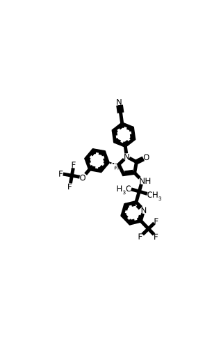 CC(C)(NC1=C[C@H](c2cccc(OC(F)(F)F)c2)N(c2ccc(C#N)cc2)C1=O)c1cccc(C(F)(F)F)n1